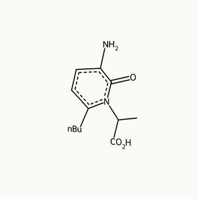 CCCCc1ccc(N)c(=O)n1C(C)C(=O)O